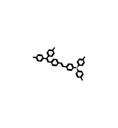 Cc1ccc(C(=Cc2ccc(C=Cc3ccc(N(c4ccc(C)cc4)c4ccc(C)cc4)cc3)cc2)c2ccc(C)cc2)cc1